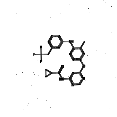 Cc1cc(Oc2cc(NC(=O)C3CC3)ncn2)ccc1Nc1cccc(CC(F)(F)F)c1